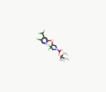 CC(C)(C)OC(=O)N1CC(Oc2cc(C(F)F)c(F)cn2)C(F)(F)C1